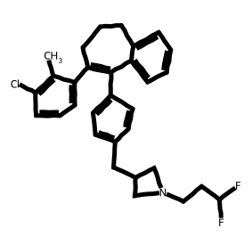 Cc1c(Cl)cccc1C1=C(c2ccc(CC3CN(CCC(F)F)C3)cc2)c2ccccc2CCC1